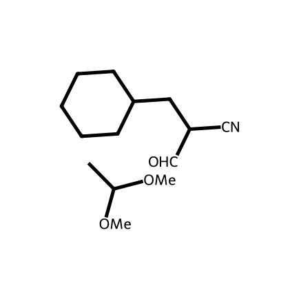 COC(C)OC.N#CC(C=O)CC1CCCCC1